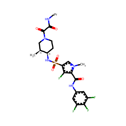 CC(C)NC(=O)C(=O)N1CC[C@@H](NS(=O)(=O)c2cn(C)c(C(=O)Nc3cc(F)c(F)c(F)c3)c2F)[C@@H](C)C1